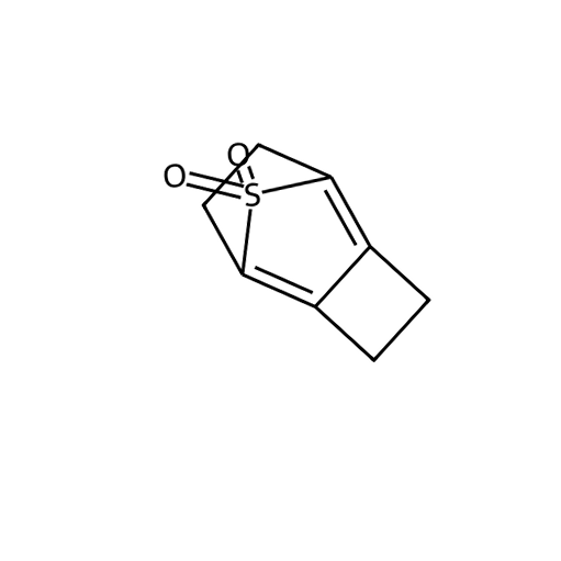 O=S1(=O)C2=C3CCC3=C1CC2